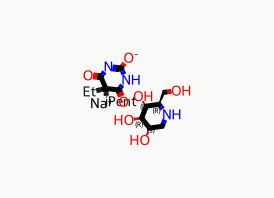 CCCC(C)C1(CC)C(=O)N=C([O-])NC1=O.OC[C@H]1NC[C@H](O)[C@@H](O)[C@@H]1O.[Na+]